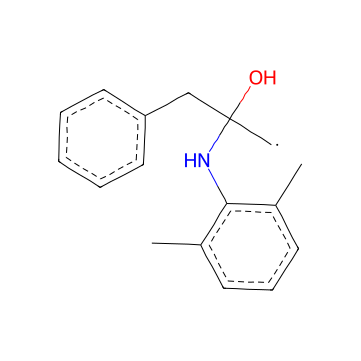 [CH2]C(O)(Cc1ccccc1)Nc1c(C)cccc1C